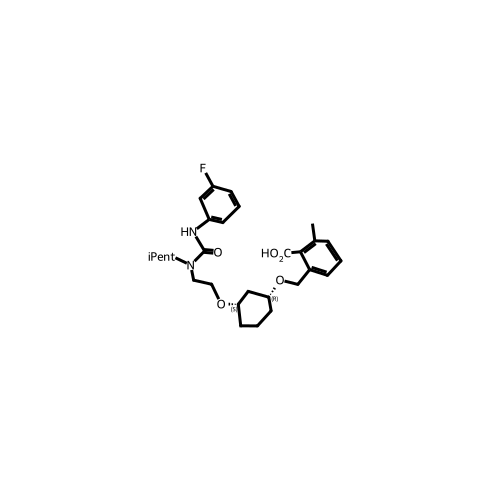 CCCC(C)N(CCO[C@H]1CCC[C@@H](OCc2cccc(C)c2C(=O)O)C1)C(=O)Nc1cccc(F)c1